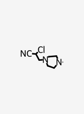 N#CC(Cl)CN1CC[N]CC1